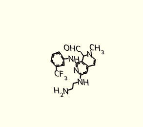 CN1C=Cc2cc(NCCN)nc(Nc3cccc(C(F)(F)F)c3)c2C1C=O